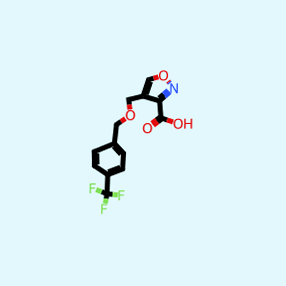 O=C(O)c1nocc1COCc1ccc(C(F)(F)F)cc1